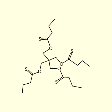 CCCC(=S)OCC(COC(=S)CCC)(COC(=S)CCC)COC(=S)CCC